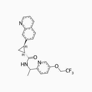 CC(NC(=O)[C@@H]1C[C@H]1c1ccc2cccnc2c1)c1ccc(OCC(F)(F)F)cn1